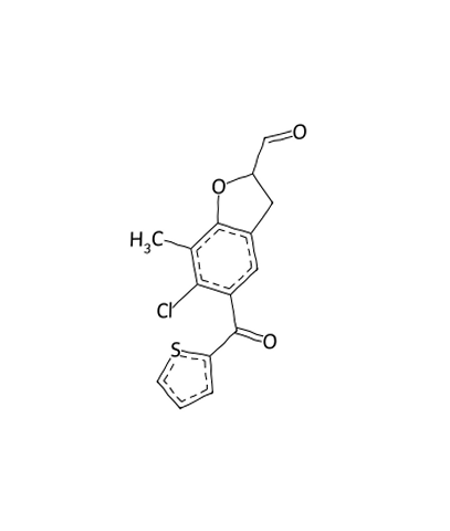 Cc1c(Cl)c(C(=O)c2cccs2)cc2c1OC(C=O)C2